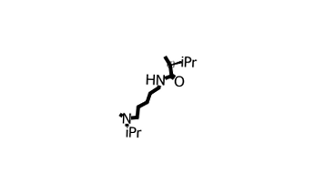 CC(C)[C@H](C)C(=O)NCCCCCN(C)C(C)C